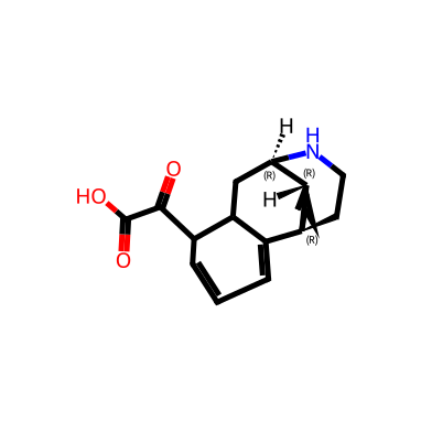 O=C(O)C(=O)C1C=CC=C2C1C[C@H]1NCC[C@@]23CCCC[C@@H]13